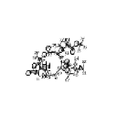 C=CCO[C@]1(C)C[C@@H](C)CN2CN3C(=O)O[C@](C)([C@@H](CC)OC(=O)[C@H](Cc4cnn(C(=O)OC(C)(C)C)c4)C(=O)[C@H](C)C1O[C@@H]1OC(C)CC(N(C)C)C1C)[C@H]3[C@H]2C